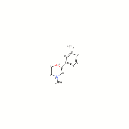 CC(C)(C)N1CCOC(c2cccc(C(F)(F)F)c2)C1